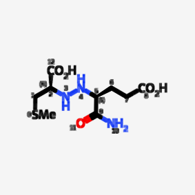 CSC[C@H](NN[C@@H](CCC(=O)O)C(N)=O)C(=O)O